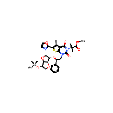 Cc1c(-c2ncco2)sc2c1c(=O)n(C(C)(C)C(=O)OC(C)(C)C)c(=O)n2CC(O[C@H]1COC2C1OC[C@@H]2O[Si](C)(C)C(C)(C)C)c1ccccc1